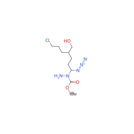 CC(C)(C)OC(=O)N(N)C(CCC(CO)CCCCl)N=[N+]=[N-]